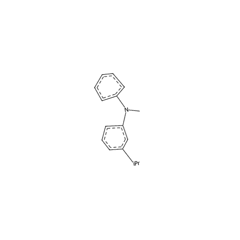 CC(C)c1cccc(N(C)c2ccccc2)c1